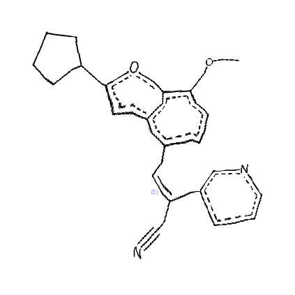 COc1ccc(/C=C(/C#N)c2cccnc2)c2cc(C3CCCC3)oc12